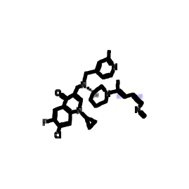 C=N/C=C\C=C(/C)N1CCC[C@H](N(Cc2ccnc(C)c2)Cc2cn(C3CC3)c3cc(Cl)c(F)cc3c2=O)C1